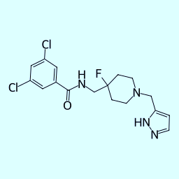 O=C(NCC1(F)CCN(Cc2ccn[nH]2)CC1)c1cc(Cl)cc(Cl)c1